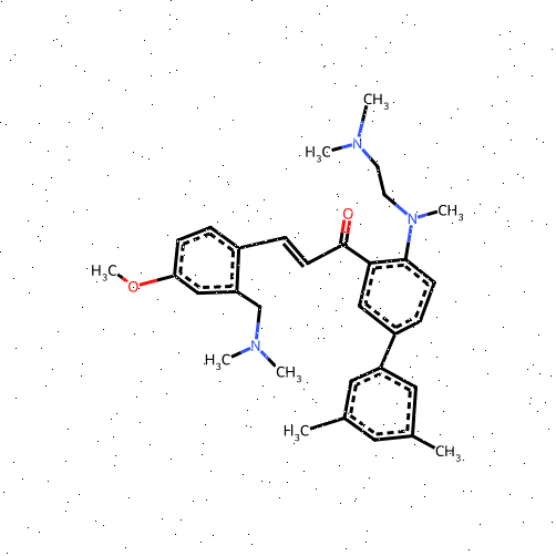 COc1ccc(C=CC(=O)c2cc(-c3cc(C)cc(C)c3)ccc2N(C)CCN(C)C)c(CN(C)C)c1